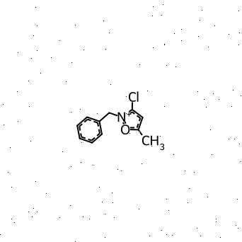 Cc1cc(Cl)[n+](Cc2ccccc2)o1